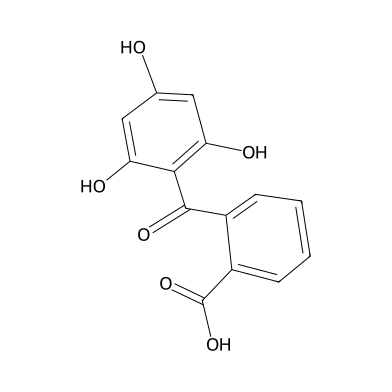 O=C(O)c1ccccc1C(=O)c1c(O)cc(O)cc1O